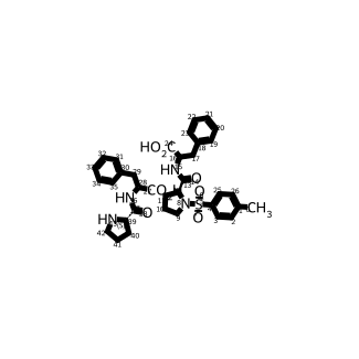 Cc1ccc(S(=O)(=O)N2CCC[C@H]2C(=O)NC(Cc2ccccc2)C(=O)O)cc1.O=C(O)C(Cc1ccccc1)NC(=O)[C@@H]1CCCN1